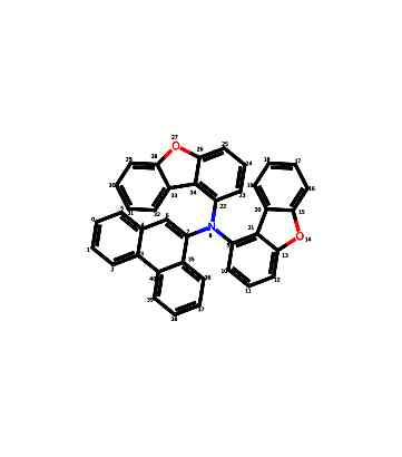 c1ccc2c(c1)cc(N(c1cccc3oc4ccccc4c13)c1cccc3oc4ccccc4c13)c1ccccc12